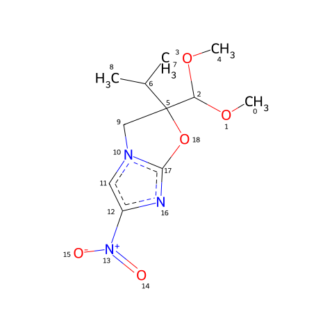 COC(OC)C1(C(C)C)Cn2cc([N+](=O)[O-])nc2O1